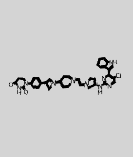 O=C1CCN(c2ccc(C3CN(C4CCN(CCN5CC[C@@H](Nc6ncc(Cl)c(-c7c[nH]c8ccccc78)n6)C5)CC4)C3)cc2)C(=O)N1